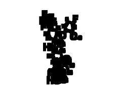 COc1cc(F)ccc1Oc1cc(C(F)(F)C(F)(F)F)ccc1C(=O)Nc1ccn(C(OP(=O)(O)O)(C(C)(C)C)C(C)(C)C)c(=O)c1